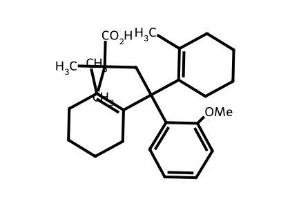 COc1ccccc1C(CC(C)(C)C(=O)O)(C1=C(C)CCCC1)C1=C(C)CCCC1